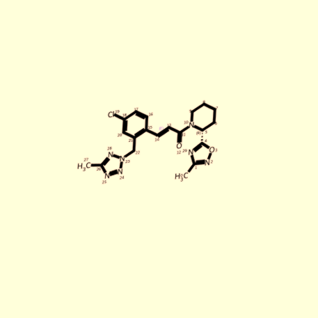 Cc1noc([C@H]2CCCCN2C(=O)/C=C/c2ccc(Cl)cc2Cn2nnc(C)n2)n1